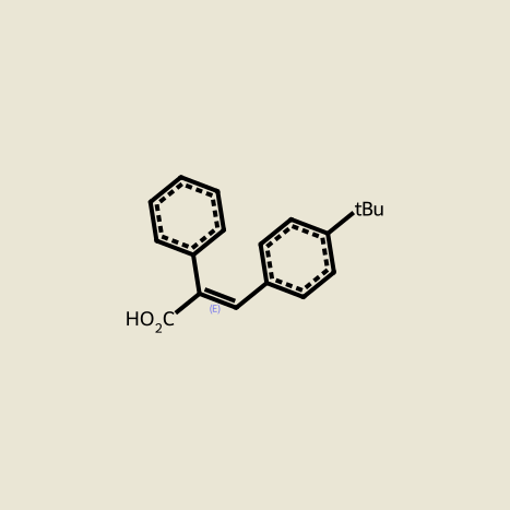 CC(C)(C)c1ccc(/C=C(/C(=O)O)c2ccccc2)cc1